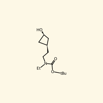 CCN(CC[C@H]1C[C@@H](O)C1)C(=O)OC(C)(C)C